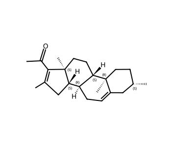 CC(=O)C1=C(C)C[C@H]2[C@@H]3CC=C4C[C@@H](C)CC[C@]4(C)[C@H]3CC[C@]12C